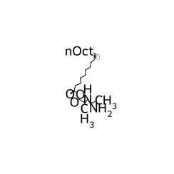 CCCCCCCC/C=C\CCCCCCCC(=O)OC(=O)C(C)NC(C)N